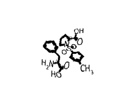 Cc1ccc(S(=O)(=O)N2CCC[C@H]2C(=O)O)cc1.N[C@@H](Cc1ccccc1)C(=O)O